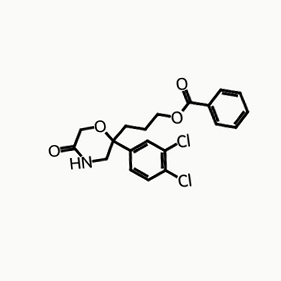 O=C1COC(CCCOC(=O)c2ccccc2)(c2ccc(Cl)c(Cl)c2)CN1